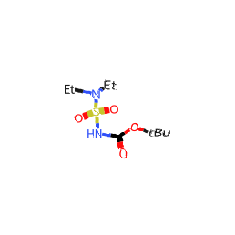 CCN(CC)S(=O)(=O)NC(=O)OC(C)(C)C